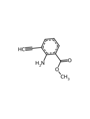 C#Cc1cccc(C(=O)OC)c1N